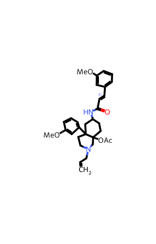 C=CCN1CCC2(c3cccc(OC)c3)CC(NC(=O)/C=C/c3cccc(OC)c3)CCC2(OC(C)=O)C1